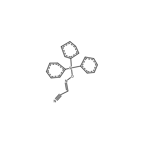 N#CC=NO[Si](c1ccccc1)(c1ccccc1)c1ccccc1